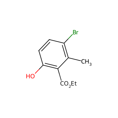 CCOC(=O)c1c(O)ccc(Br)c1C